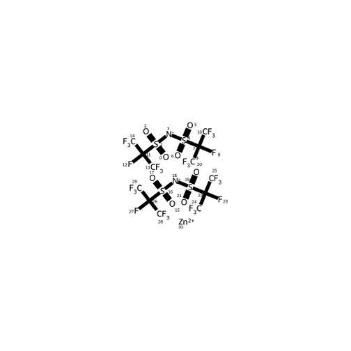 O=S(=O)([N-]S(=O)(=O)C(F)(C(F)(F)F)C(F)(F)F)C(F)(C(F)(F)F)C(F)(F)F.O=S(=O)([N-]S(=O)(=O)C(F)(C(F)(F)F)C(F)(F)F)C(F)(C(F)(F)F)C(F)(F)F.[Zn+2]